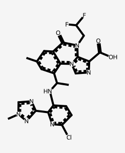 Cc1cc(C(C)Nc2ccc(Cl)nc2-c2ncn(C)n2)c2c(c1)c(=O)n(CC(F)F)c1c(C(=O)O)ncn21